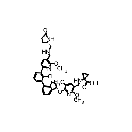 COc1nc(-c2cccc(-c3cccc4c3CC[C@@H]4Oc3nc(OC)c(CNC4(C(=O)O)CC4)cc3C)c2Cl)ccc1CNC[C@@H]1CCC(=O)N1